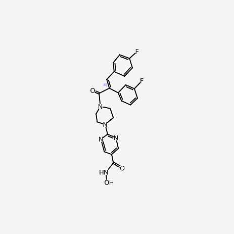 O=C(NO)c1cnc(N2CCN(C(=O)/C(=C/c3ccc(F)cc3)c3cccc(F)c3)CC2)nc1